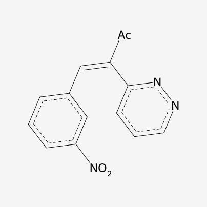 CC(=O)C(=Cc1cccc([N+](=O)[O-])c1)c1cccnn1